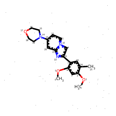 COc1cc(OC)c(-c2cn3ccc(N4CCOCC4)cc3n2)cc1C